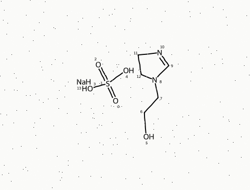 O=S(=O)(O)O.OCCN1C=NCC1.[NaH]